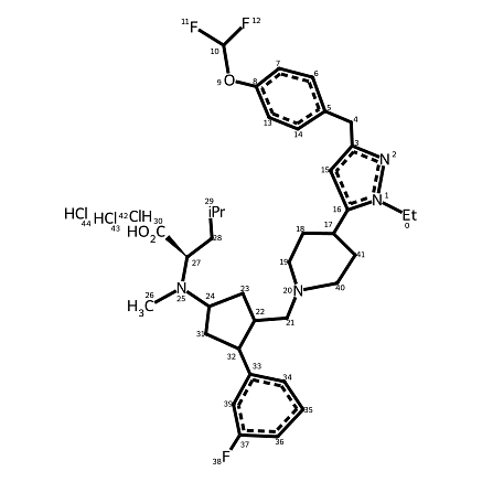 CCn1nc(Cc2ccc(OC(F)F)cc2)cc1C1CCN(CC2CC(N(C)[C@H](CC(C)C)C(=O)O)CC2c2cccc(F)c2)CC1.Cl.Cl.Cl